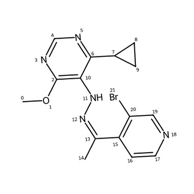 COc1ncnc(C2CC2)c1NN=C(C)c1ccncc1Br